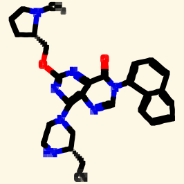 CN1CCC[C@H]1COc1nc(N2CCN[C@@H](CC#N)C2)c2ncn(-c3cccc4ccccc34)c(=O)c2n1